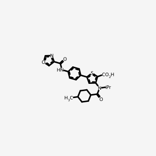 CC1CCC(C(=O)N(c2cc(-c3ccc(NC(=O)c4cocn4)cc3)sc2C(=O)O)C(C)C)CC1